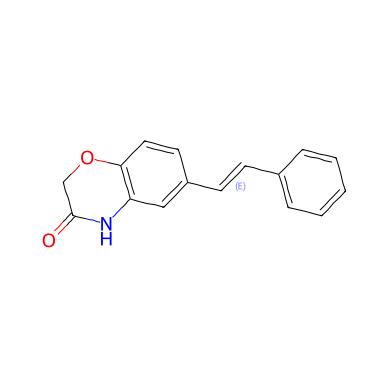 O=C1COc2ccc(/C=C/c3ccccc3)cc2N1